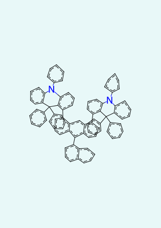 c1ccc(N2c3ccccc3C(c3ccccc3)(c3ccccc3)c3c(-c4cccc5c(-c6cccc7ccccc67)c6cccc(-c7cccc8c7C(c7ccccc7)(c7ccccc7)c7ccccc7N8c7ccccc7)c6cc45)cccc32)cc1